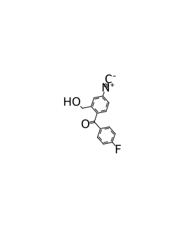 [C-]#[N+]c1ccc(C(=O)c2ccc(F)cc2)c(CO)c1